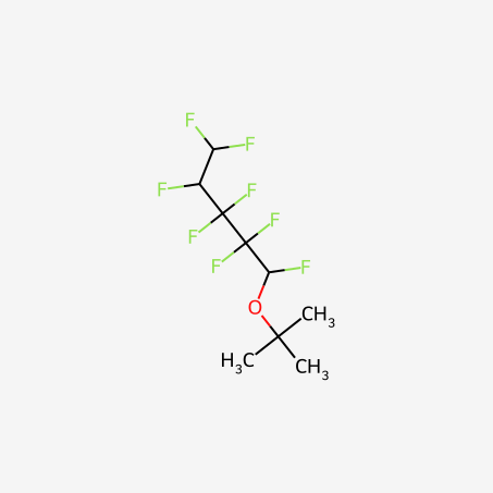 CC(C)(C)OC(F)C(F)(F)C(F)(F)C(F)C(F)F